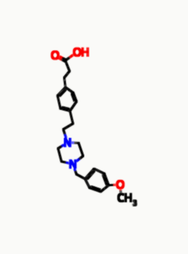 COc1ccc(CN2CCN(CCc3ccc(CCC(=O)O)cc3)CC2)cc1